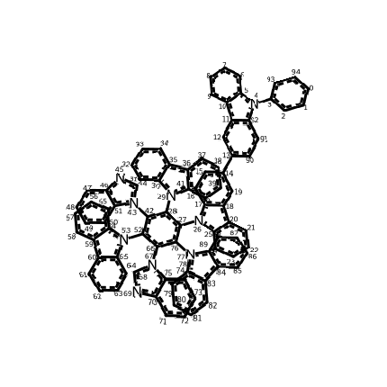 c1ccc(-n2c3ccccc3c3cc(-c4ccc5c(c4)c4ccccc4n5-c4c(-n5c6ccccc6c6ccccc65)c(-n5cnc6ccccc65)c(-n5c6ccccc6c6ccccc65)c(-n5cnc6ccccc65)c4-n4c5ccccc5c5ccccc54)ccc32)cc1